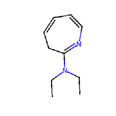 CCN(CC)C1=NC=CC=CC1